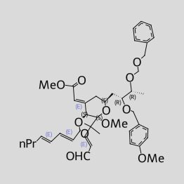 CCC/C=C/C=C/C(=O)O[C@H]1/C(=C/C(=O)OC)C[C@@H](C[C@@H](OCc2ccc(OC)cc2)[C@@H](C)OCOCc2ccccc2)O[C@@]1(OC)C(C)(C)/C=C/C=O